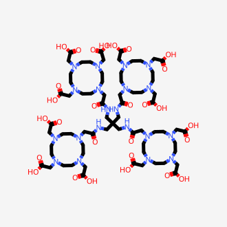 O=C(O)CN1CCN(CC(=O)O)CCN(CC(=O)NCC(CNC(=O)CN2CCN(CC(=O)O)CCN(CC(=O)O)CCN(CC(=O)O)CC2)(CNC(=O)CN2CCN(CC(=O)O)CCN(CC(=O)O)CCN(CC(=O)O)CC2)CNC(=O)CN2CCN(CC(=O)O)CCN(CC(=O)O)CCN(CC(=O)O)CC2)CCN(CC(=O)O)CC1